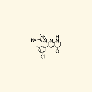 Cc1cc(-c2cc3c(=O)cc[nH]c3nc2-n2cc(C#N)c(C)n2)cc(Cl)n1